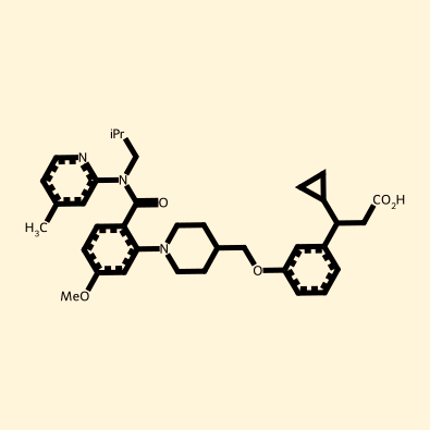 COc1ccc(C(=O)N(CC(C)C)c2cc(C)ccn2)c(N2CCC(COc3cccc(C(CC(=O)O)C4CC4)c3)CC2)c1